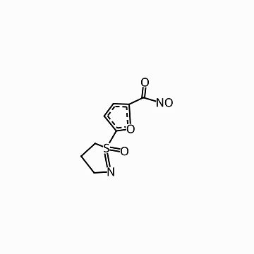 O=NC(=O)c1ccc(S2(=O)=NCCC2)o1